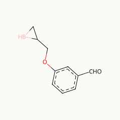 O=Cc1cccc(OCC2BC2)c1